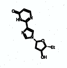 CC[C@H]1O[C@@H](n2cnc(-c3nccc(=O)[nH]3)c2)CC1O